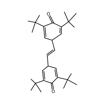 CC(C)(C)C1=CC(/C=C/C2C=C(C(C)(C)C)C(=O)C(C(C)(C)C)=C2)C=C(C(C)(C)C)C1=O